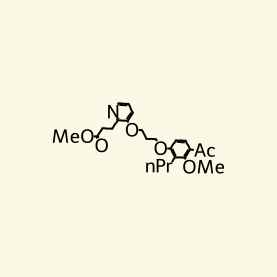 CCCc1c(OCCCOc2cccnc2CCC(=O)OC)ccc(C(C)=O)c1OC